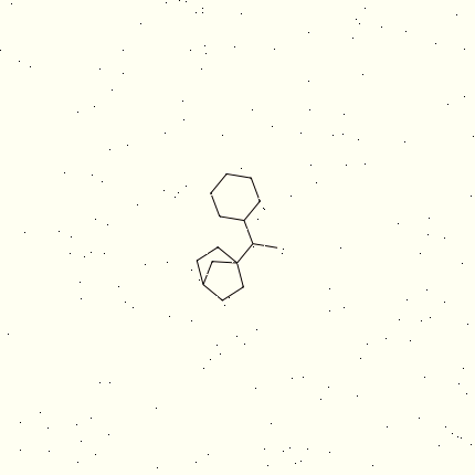 CC(C1CCCCC1)C12CCC(CC1)C2